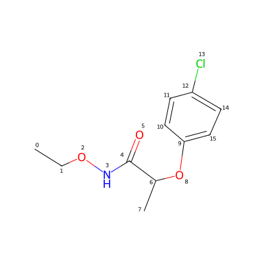 CCONC(=O)C(C)Oc1ccc(Cl)cc1